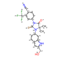 CC1(C)C(=O)N(c2ccc(C#N)c(C(F)(F)F)c2)C(=S)N1c1ccc2cc(CO)[nH]c2c1